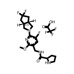 COc1nc(N2C[C@@H]3CC(F)(F)C[C@@H]3C2)c(F)cc1CNC(=O)C1CCCN1.O=C(O)C(F)(F)F